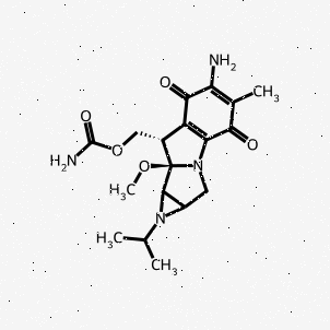 CO[C@]12C3C(CN1C1=C(C(=O)C(N)=C(C)C1=O)[C@H]2COC(N)=O)N3C(C)C